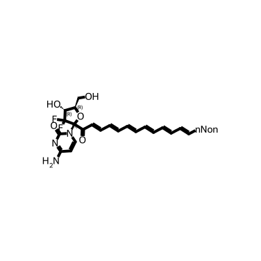 CCCCCCCCCC=CC=CC=CC=CC=CC=CC(=O)[C@@]1(n2ccc(N)nc2=O)O[C@H](CO)[C@@H](O)C1(F)F